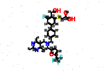 Cc1nc(C)c(CN(Cc2ccc(-c3cc(F)c(CO)c(SCC(=O)O)c3)cc2)Cc2ccc(C(F)(F)F)o2)c(C)n1